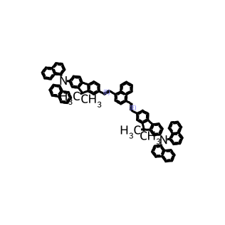 CC1(C)c2cc(/C=C/c3ccc(/C=C/c4ccc5c(c4)C(C)(C)c4cc(N(c6cccc7ccccc67)c6cccc7ccccc67)ccc4-5)c4ccccc34)ccc2-c2ccc(N(c3cccc4ccccc34)c3cccc4ccccc34)cc21